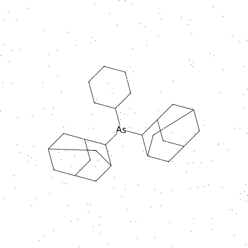 C1CCC([As](C2C3CC4CC(C3)CC2C4)C2C3CC4CC(C3)CC2C4)CC1